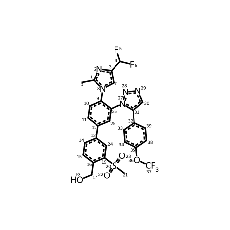 Cc1nc(C(F)F)cn1-c1ccc(-c2ccc(CO)c(S(C)(=O)=O)c2)cc1-n1nncc1-c1ccc(OC(F)(F)F)cc1